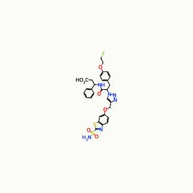 NS(=O)(=O)c1nc2ccc(OCc3cn(C(Cc4ccc(OCCF)cc4)C(=O)NC(CC(=O)O)c4ccccc4)nn3)cc2s1